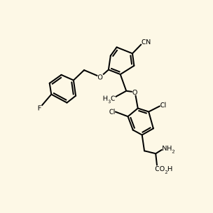 CC(Oc1c(Cl)cc(CC(N)C(=O)O)cc1Cl)c1cc(C#N)ccc1OCc1ccc(F)cc1